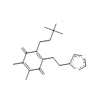 CC1=C(C)C(=O)C(CCC(C)(C)O)=C(CCc2cncs2)C1=O